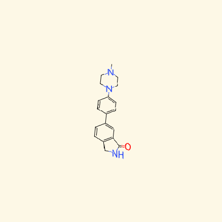 CN1CCN(c2ccc(-c3ccc4c(c3)C(=O)NC4)cc2)CC1